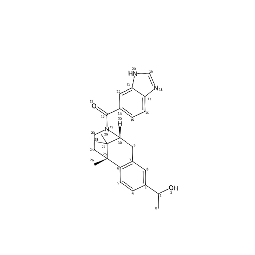 CC(O)c1ccc2c(c1)C[C@H]1N(C(=O)c3ccc4nc[nH]c4c3)CC[C@]2(C)C1(C)C